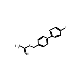 N=C(N)SCc1ccc(-c2ccc(F)cc2)cc1